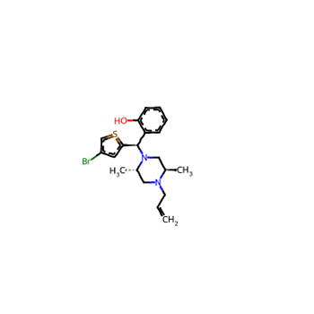 C=CCN1C[C@H](C)N([C@@H](c2cc(Br)cs2)c2ccccc2O)C[C@H]1C